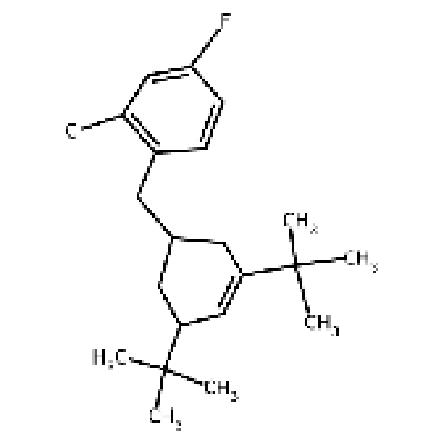 CC(C)(C)C1=CC(C(C)(C)C)CC(Cc2ccc(F)cc2Cl)C1